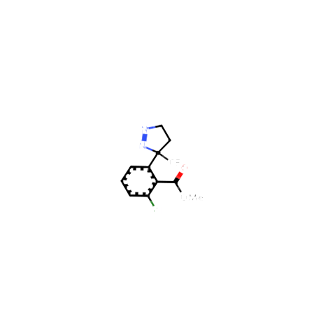 COC(=O)c1c(Cl)cccc1C1(C(F)(F)F)CCN=N1